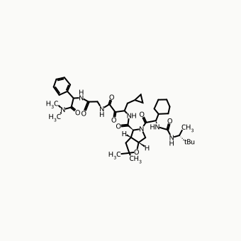 C[C@@H](NC(=O)N[C@H](C(=O)N1C[C@@H]2OC(C)(C)C[C@@H]2[C@H]1C(=O)NC(CC1CC1)C(=O)C(=O)NCC(=O)NC(C(=O)N(C)C)c1ccccc1)C1CCCCC1)C(C)(C)C